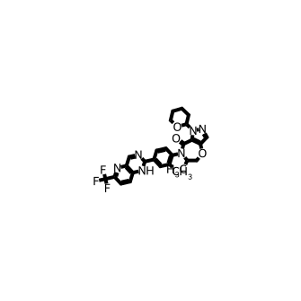 Cc1cc(C2N=Cc3nc(C(F)(F)F)ccc3N2)ccc1N1C(=O)c2c(cnn2C2CCCCO2)OCC1C